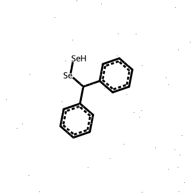 [SeH][Se]C(c1ccccc1)c1ccccc1